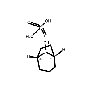 CN1[C@@H]2CCC[C@H]1CC2.CS(=O)(=O)O